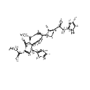 Cc1cc(N2CC(C(=O)Nc3ncc[nH]3)C2)nc2c1c(=O)c(C(=O)O)cn2-c1nccs1